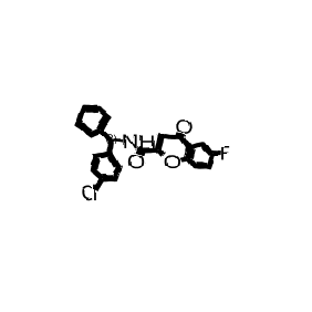 O=C1CC(C(=O)N[C@H](c2ccccc2)c2ccc(Cl)cc2)Oc2ccc(F)cc21